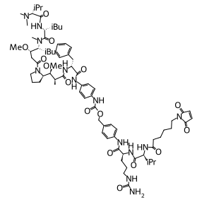 CC[C@@H](C)[C@H]([C@H](CC(=O)N1CCC[C@@H]1[C@@H](OC)[C@H](C)C(=O)N[C@H](Cc1ccccc1)C(=O)Nc1ccc(NC(=O)OCc2ccc(NC(=O)[C@H](CCCNC(N)=O)NC(=O)[C@@H](NC(=O)CCCCCN3C(=O)C=CC3=O)C(C)C)cc2)cc1)OC)N(C)C(=O)[C@H](NC(=O)[C@@H](C(C)C)N(C)C)[C@@H](C)CC